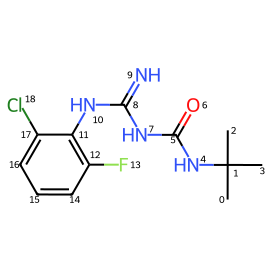 CC(C)(C)NC(=O)NC(=N)Nc1c(F)cccc1Cl